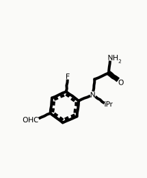 CC(C)N(CC(N)=O)c1ccc(C=O)cc1F